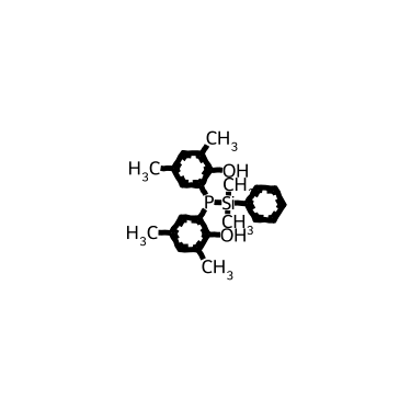 Cc1cc(C)c(O)c(P(c2cc(C)cc(C)c2O)[Si](C)(C)c2ccccc2)c1